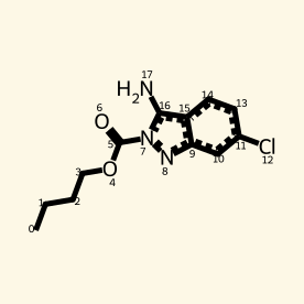 CCCCOC(=O)n1nc2cc(Cl)ccc2c1N